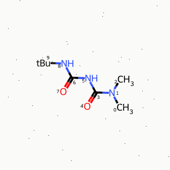 CN(C)C(=O)NC(=O)NC(C)(C)C